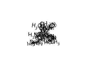 CC(C)(C)OC(=O)N[C@H](CC1CCCCC1)C(=O)N1C[C@@H](n2nncc2C(C)(C)O)C[C@H]1C(=O)NC(CCCCNC(=O)O)C(=O)C(N)=O